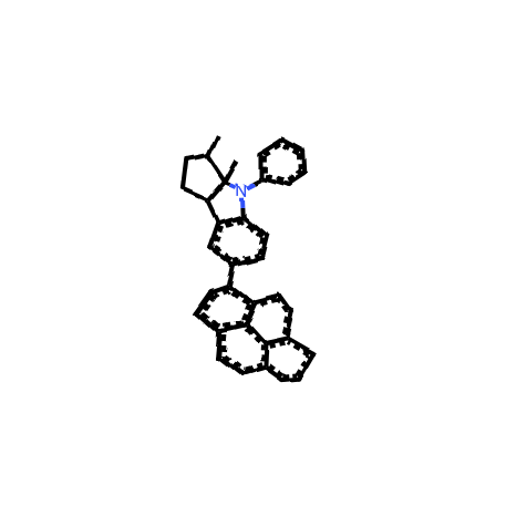 CC1CCC2c3cc(-c4ccc5ccc6cccc7ccc4c5c67)ccc3N(c3ccccc3)C12C